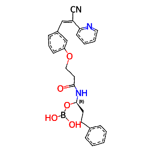 N#CC(=Cc1cccc(OCCC(=O)N[C@@H](CCc2ccccc2)OB(O)O)c1)c1ccccn1